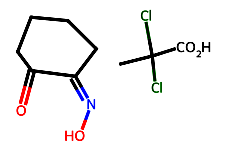 CC(Cl)(Cl)C(=O)O.O=C1CCCC/C1=N/O